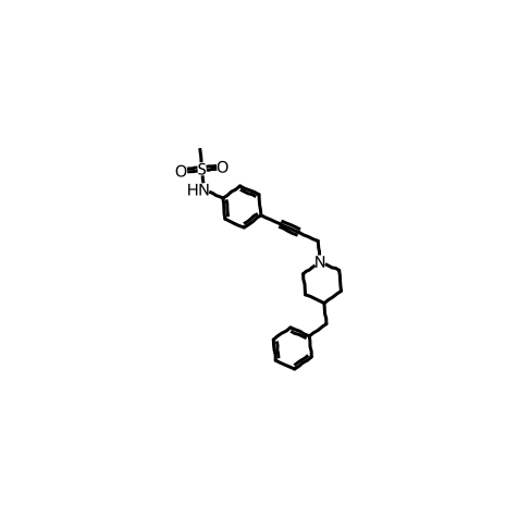 CS(=O)(=O)Nc1ccc(C#CCN2CCC(Cc3ccccc3)CC2)cc1